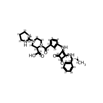 CC[C@@H](Nc1c(Nc2cccc(C(=O)N3CCN(C4=NCCCN4)CC3C(=O)O)c2)c(=O)c1=O)c1ccccc1